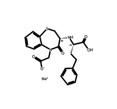 O=C([O-])CN1C(=O)[C@@H](N[C@@H](CCc2ccccc2)C(=O)O)CSc2ccccc21.[Na+]